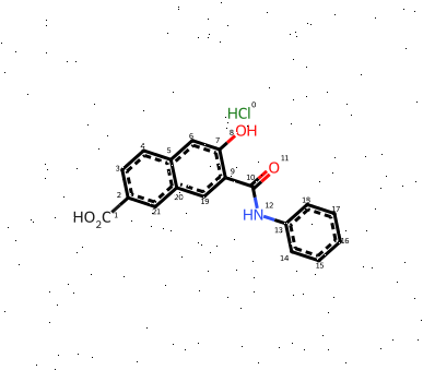 Cl.O=C(O)c1ccc2cc(O)c(C(=O)Nc3ccccc3)cc2c1